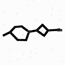 CC1CCN(C2CC(C(C)(C)C)C2)CC1